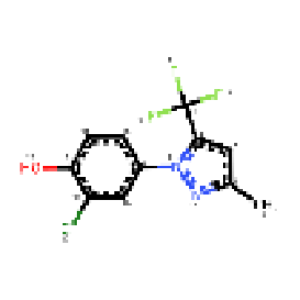 Cc1cc(C(F)(F)F)n(-c2ccc(O)c(Cl)c2)n1